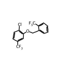 FC(F)(F)c1ccc(Cl)c(OCc2ccccc2C(F)(F)F)c1